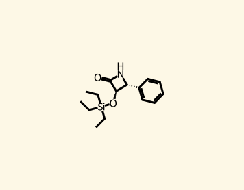 CC[Si](CC)(CC)O[C@H]1C(=O)N[C@@H]1c1ccccc1